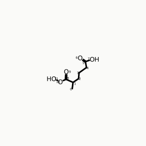 CC(CCCC(=O)O)C(=O)OO